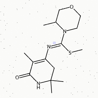 CS/C(=N\C1=C(C)C(=O)NC(C)(C)C1)N1CCOCC1C